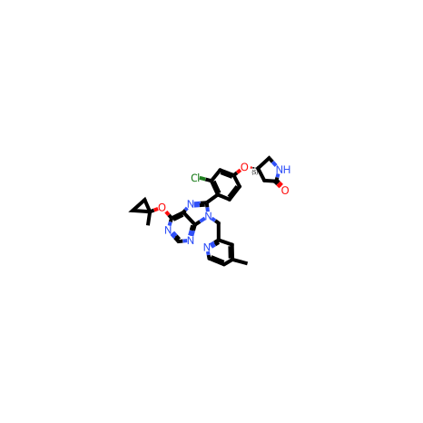 Cc1ccnc(Cn2c(-c3ccc(O[C@@H]4CNC(=O)C4)cc3Cl)nc3c(OC4(C)CC4)ncnc32)c1